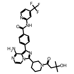 CC(C)(O)CC(=O)N1CCCC(c2nc(-c3ccc(C(=O)Nc4cc(C(F)(F)F)ccn4)cc3)c3c(N)nccn23)C1